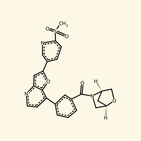 CS(=O)(=O)c1ccc(-c2cc3nccc(-c4cccc(C(=O)N5C[C@H]6C[C@@H]5CO6)c4)c3o2)cn1